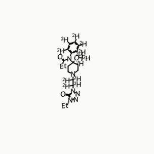 [2H]c1c([2H])c([2H])c(N(C(=O)CC)C2(OC([2H])([2H])[2H])CCN(C([2H])([2H])C([2H])([2H])n3nnn(CC)c3=O)CC2)c([2H])c1[2H]